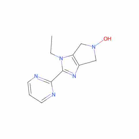 CCn1c(-c2ncccn2)nc2c1CN(O)C2